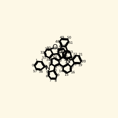 c1ccc(-n2c3ccccc3c3c(-c4cccc5c6ccccc6n(-c6ccc7oc8ccccc8c7c6)c45)c(-c4cccc5c4oc4ccccc45)ccc32)cc1